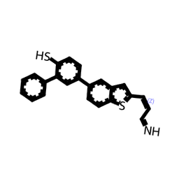 N=C/C=C\c1cc2cc(-c3ccc(S)c(-c4ccccc4)c3)ccc2s1